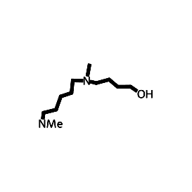 CNCCCCCN(C)CCCCO